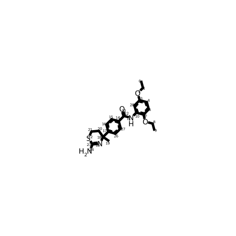 CCOc1ccc(OCC)c(NC(=O)c2ccc(C3(C)CCSC(N)=N3)cc2)c1